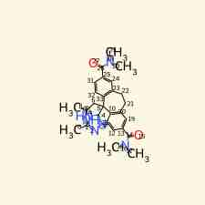 Cc1nnc(C2(C[C@H](C)N)c3ccc(C(=O)N(C)C)cc3CCc3cc(C(=O)N(C)C)ccc32)[nH]1